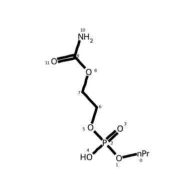 CCCOP(=O)(O)OCCOC(N)=O